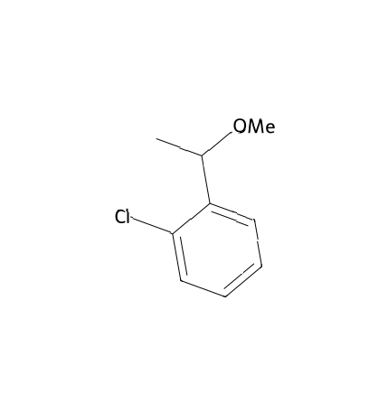 COC(C)c1ccccc1Cl